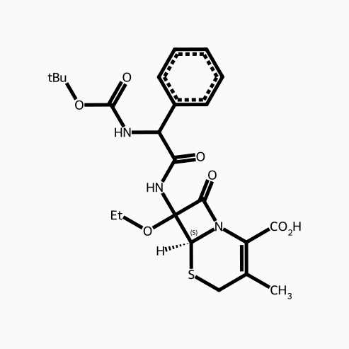 CCOC1(NC(=O)C(NC(=O)OC(C)(C)C)c2ccccc2)C(=O)N2C(C(=O)O)=C(C)CS[C@H]21